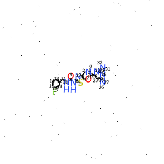 CN(Cc1csc(NC(=O)NCc2cccc(F)c2)n1)C(=O)c1cc(N(C)C)nc(N(C)C)n1